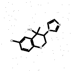 CC1(O)c2cc(Cl)ccc2OCC1n1ccnc1